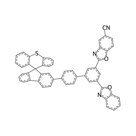 N#Cc1ccc2oc(-c3cc(-c4ccc(-c5ccc6c(c5)C5(c7ccccc7Sc7ccccc75)c5ccccc5-6)cc4)cc(-c4nc5ccccc5o4)c3)nc2c1